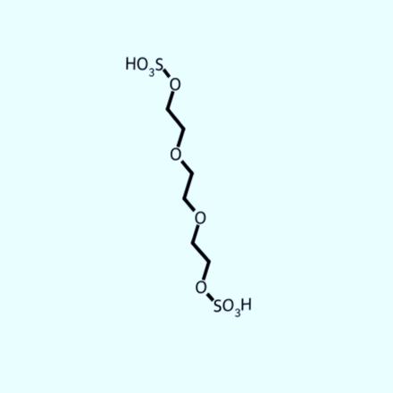 O=S(=O)(O)OCCOCCOCCOS(=O)(=O)O